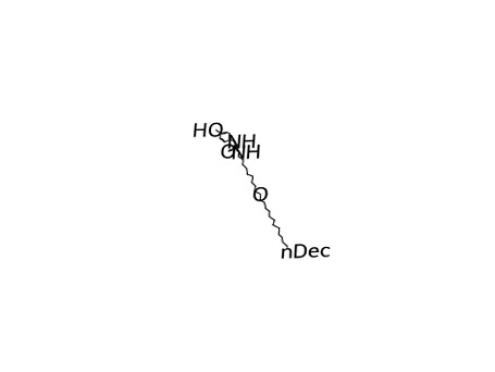 CCCCCCCCCCCCCCCCCCCCCCOCCCCCCCCCNC(=O)Nc1ccc(O)cc1